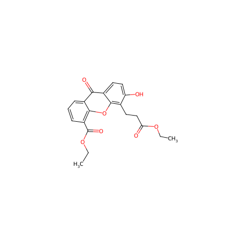 CCOC(=O)CCc1c(O)ccc2c(=O)c3cccc(C(=O)OCC)c3oc12